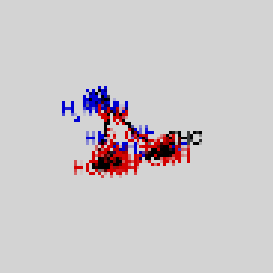 CN(Cc1cnc2nc(N)nc(N)c2n1)c1ccc(C(=O)N[C@H](CCC(=O)OCCCCCC(=O)NCCOCCOC2O[C@@H](CO)[C@@H](O)[C@H](O)[C@@H]2O[C@H]2O[C@H](CO)[C@@H](O)[C@H](NOC=O)[C@@H]2O)C(=O)OCCCCCC(=O)NCCOCCOC2O[C@H](CO)[C@H](O)[C@@H](O)[C@H]2O[C@@H]2O[C@@H](CO)[C@H](O)C(OC(N)=O)[C@H]2O)cc1